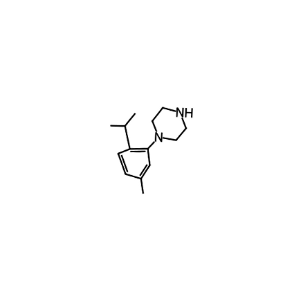 Cc1ccc(C(C)C)c(N2CCNCC2)c1